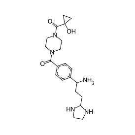 NC(CCC1NCCN1)c1ccc(C(=O)N2CCN(C(=O)C3(O)CC3)CC2)cc1